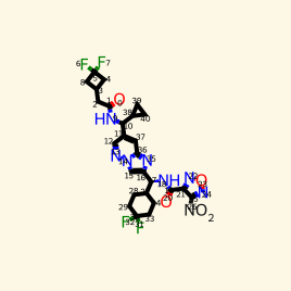 O=C(CC1CC(F)(F)C1)NC(c1cnn2cc([C@@H](NC(=O)c3nonc3[N+](=O)[O-])C3CCC(F)(F)CC3)nc2c1)C1CC1